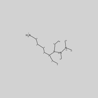 CCC(CCCCN)C(CC)N(C)N(C)C